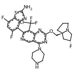 Nc1nc2c(-c3ncc4c(N5CCNCC5)nc(OC[C@@]56CCCN5C[C@H](F)C6)nc4c3C(F)(F)Cl)c(F)cc(F)c2s1